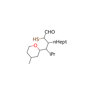 CCCCCCCC(C(S)C=O)C(C(C)C)C1CC(C)CCO1